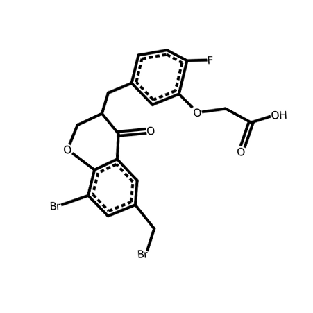 O=C(O)COc1cc(CC2COc3c(Br)cc(CBr)cc3C2=O)ccc1F